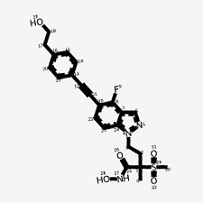 CC(CCn1ncc2c(F)c(C#Cc3ccc(CCO)cc3)ccc21)(C(=O)NO)S(C)(=O)=O